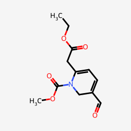 CCOC(=O)CC1=CC=C(C=O)CN1C(=O)OC